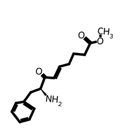 COC(=O)CCC/C=C/C(=O)[C@@H](N)Cc1ccccc1